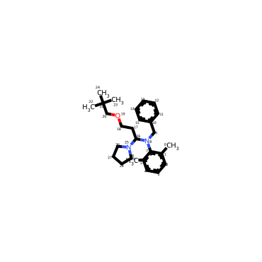 Cc1cccc(C)c1N(Cc1ccccc1)C(CCOCC(C)(C)C)N1CCCC1